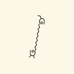 CCC(CC)CNCCCCCCCCCCCCNCC(C)C(C)C